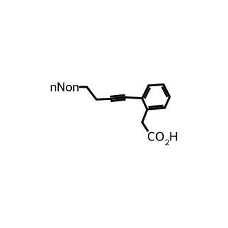 CCCCCCCCCCCC#Cc1ccccc1CC(=O)O